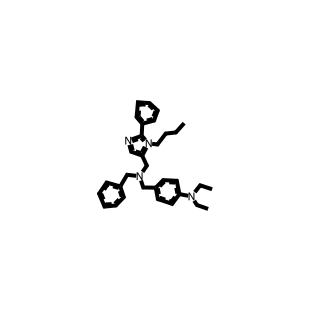 CCCCn1c(CN(Cc2ccccc2)Cc2ccc(N(CC)CC)cc2)cnc1-c1ccccc1